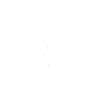 Cc1cc(N(CCOCC(C)O)CCOCC(C)O)ccc1N